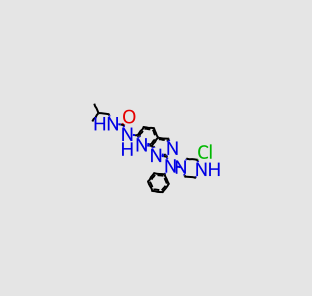 CC(C)CNC(=O)Nc1ccc2cnc(N(c3ccccc3)N3CCNC(Cl)C3)nc2n1